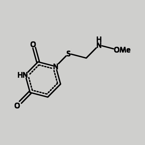 CONCSn1ccc(=O)[nH]c1=O